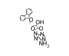 CO[C@@H]1[C@H](O)[C@@H](COC2c3ccccc3-c3ccccc32)O[C@H]1n1cnc2c(N)ncnc21